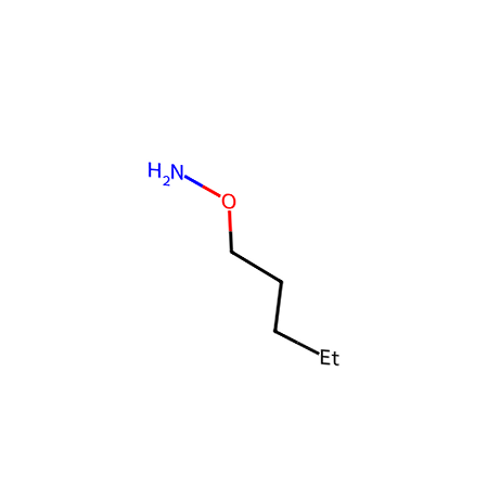 CCCCCON